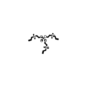 C=CC[N+](C)(C)CCOP(=O)(OCC[N+](C)(C)CC=C)OCC[N+](C)(C)CC=C